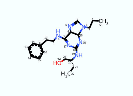 CCCN1C=NC2C(NCCc3ccccc3)=NC(N[C@H](CC)CO)=NC21